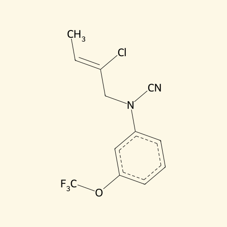 CC=C(Cl)CN(C#N)c1cccc(OC(F)(F)F)c1